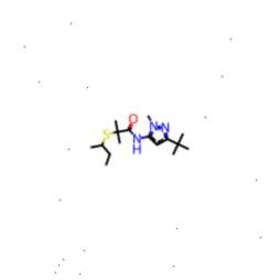 CCC(C)SC(C)(C)C(=O)Nc1cc(C(C)(C)C)nn1C